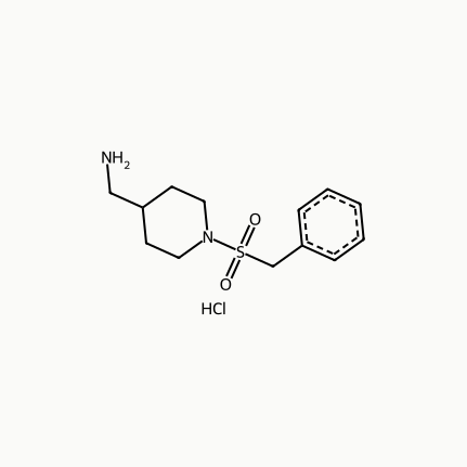 Cl.NCC1CCN(S(=O)(=O)Cc2ccccc2)CC1